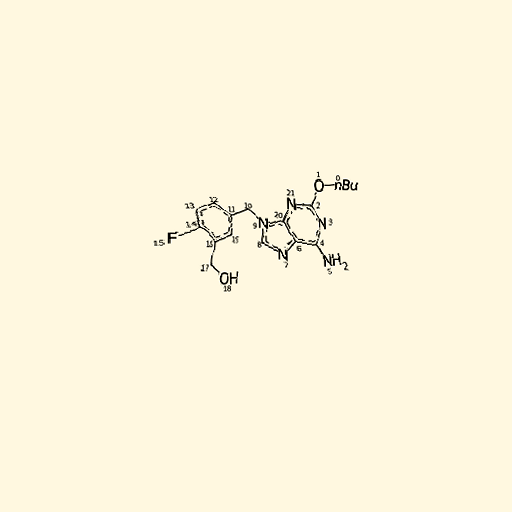 CCCCOc1nc(N)c2ncn(Cc3ccc(F)c(CO)c3)c2n1